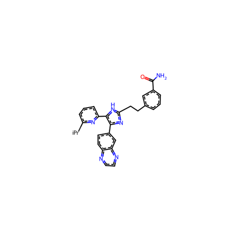 CC(C)c1cccc(-c2[nH]c(CCc3cccc(C(N)=O)c3)nc2-c2ccc3nccnc3c2)n1